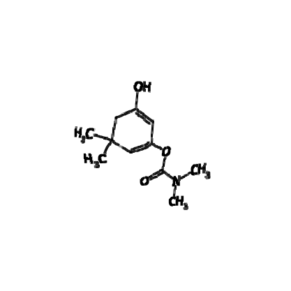 CN(C)C(=O)OC1=CC(C)(C)CC(O)=C1